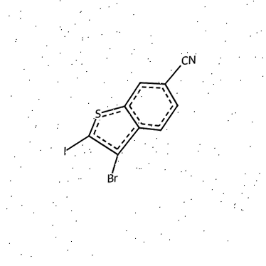 N#Cc1ccc2c(Br)c(I)sc2c1